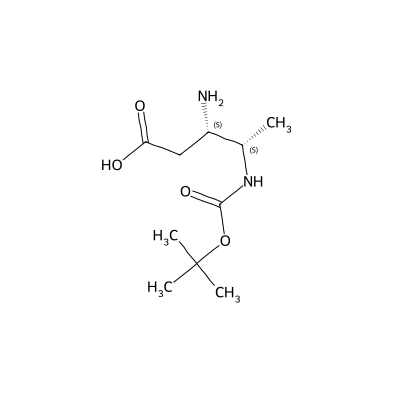 C[C@H](NC(=O)OC(C)(C)C)[C@@H](N)CC(=O)O